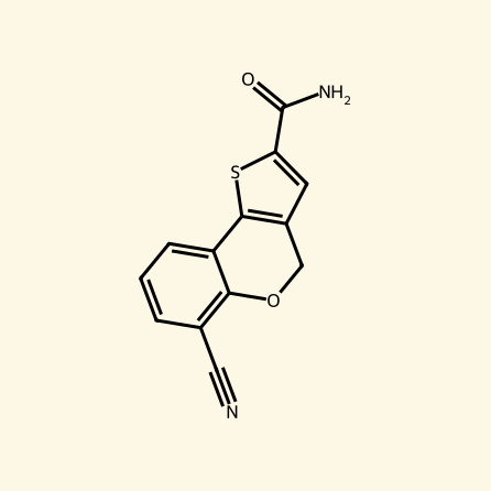 N#Cc1cccc2c1OCc1cc(C(N)=O)sc1-2